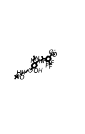 Cc1nc(NC(C)c2cc([N+](=O)[O-])cc(C(F)(F)F)c2)c2cc(O)c(OCCNC(=O)OC(C)(C)C)cc2n1